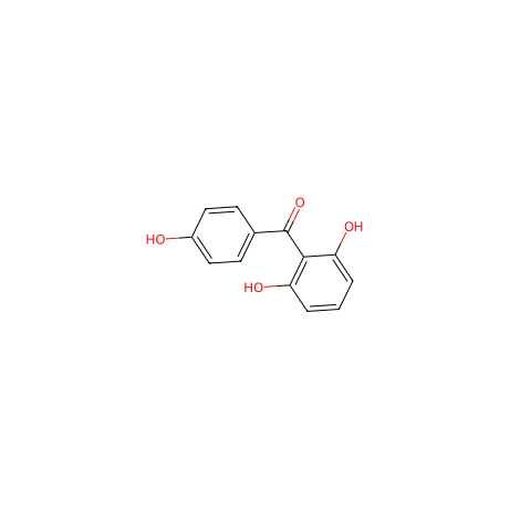 O=C(c1ccc(O)cc1)c1c(O)cccc1O